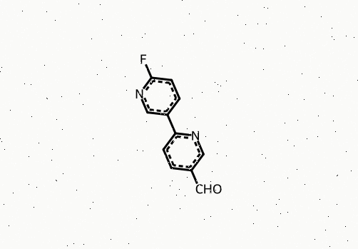 O=Cc1ccc(-c2ccc(F)nc2)nc1